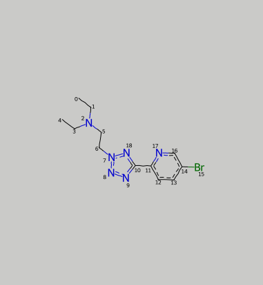 CCN(CC)CCn1nnc(-c2ccc(Br)cn2)n1